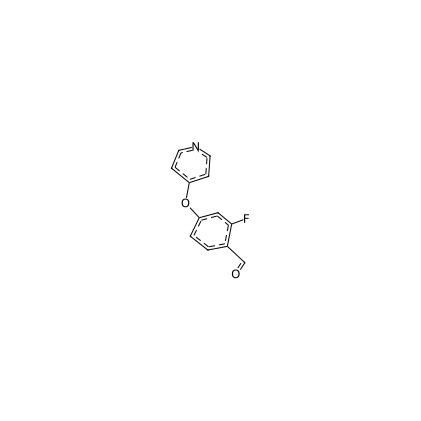 O=Cc1ccc(Oc2ccncc2)cc1F